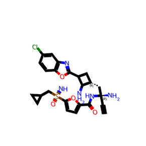 C#C[C@@](N)(C[C@H]1CC(c2nc3cc(Cl)ccc3o2)C1N)NC(=O)c1ccc(S(=N)(=O)CC2CC2)o1